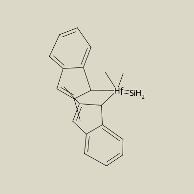 CC1=Cc2ccccc2[CH]1[Hf]([CH3])([CH3])(=[SiH2])[CH]1C(C)=Cc2ccccc21